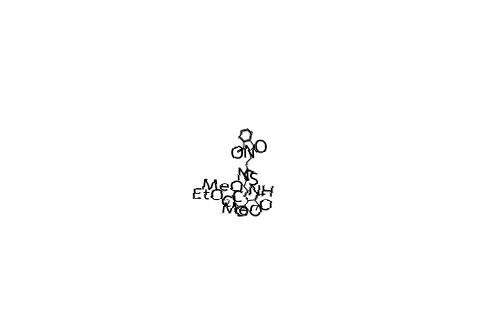 CCOC(=O)C1=C(C(OC)c2nc(CCN3C(=O)c4ccccc4C3=O)cs2)NC(C)=C(C(=O)OC)C1c1ccccc1Cl